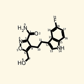 NC(=O)c1noc(CO)c1CCc1c[nH]c2ccc(F)cc12